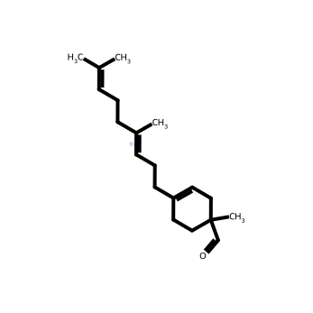 CC(C)=CCC/C(C)=C/CCC1=CCC(C)(C=O)CC1